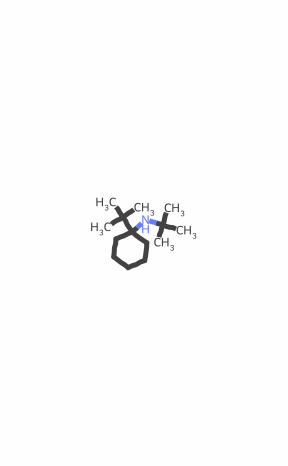 CC(C)(C)NC1(C(C)(C)C)CCCCC1